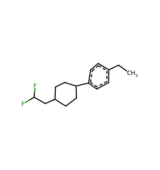 CCc1ccc(C2CC[C](CC(F)F)CC2)cc1